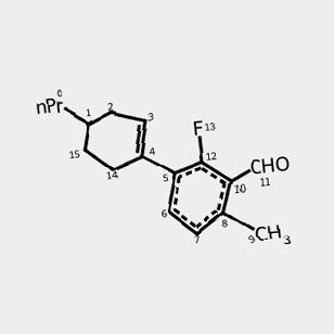 CCCC1CC=C(c2ccc(C)c(C=O)c2F)CC1